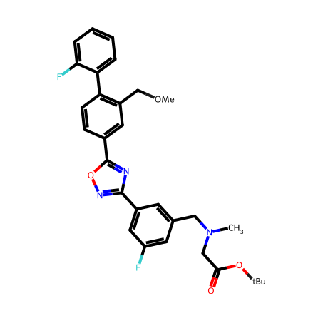 COCc1cc(-c2nc(-c3cc(F)cc(CN(C)CC(=O)OC(C)(C)C)c3)no2)ccc1-c1ccccc1F